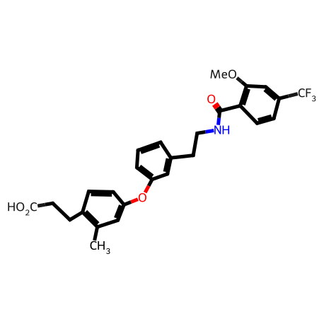 COc1cc(C(F)(F)F)ccc1C(=O)NCCc1cccc(Oc2ccc(CCC(=O)O)c(C)c2)c1